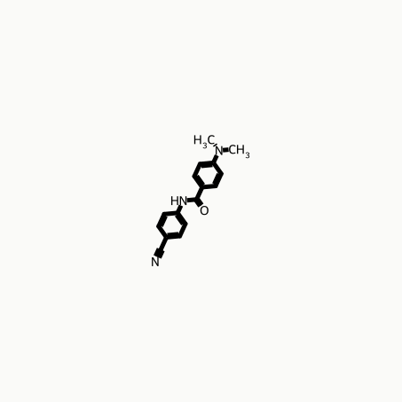 CN(C)c1ccc(C(=O)Nc2ccc(C#N)cc2)cc1